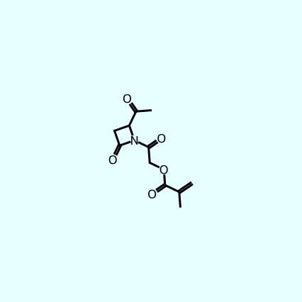 C=C(C)C(=O)OCC(=O)N1C(=O)CC1C(C)=O